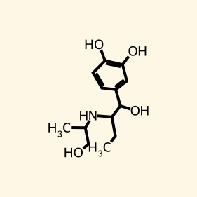 CCC(NC(C)CO)C(O)c1ccc(O)c(O)c1